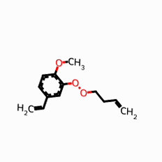 C=CCCOOc1cc(C=C)ccc1OC